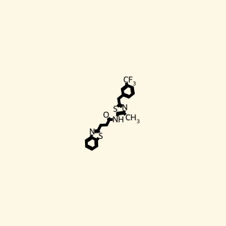 Cc1nc(Cc2cccc(C(F)(F)F)c2)sc1NC(=O)CCc1nc2ccccc2s1